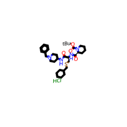 CC(C)(C)OC(=O)N1CCCC[C@H]1C(=O)N[C@@H](CSCC1CCCCC1)C(=O)NC1CCN(Cc2ccccc2)CC1.Cl